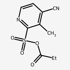 CCC(=O)OS(=O)(=O)c1nccc(C#N)c1C